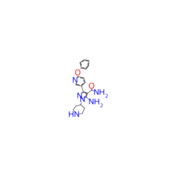 NC(=O)c1c(-c2ccc(Oc3ccccc3)nc2)nn(C2CCNCC2)c1N